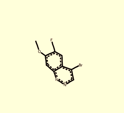 COc1cc2nncc(Br)c2cc1F